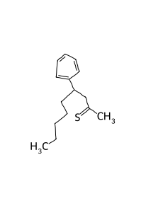 CCCCCC(CC(C)=S)c1ccccc1